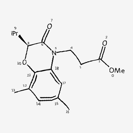 COC(=O)CCN1C(=O)[C@H](C(C)C)Oc2c(C)cc(C)cc21